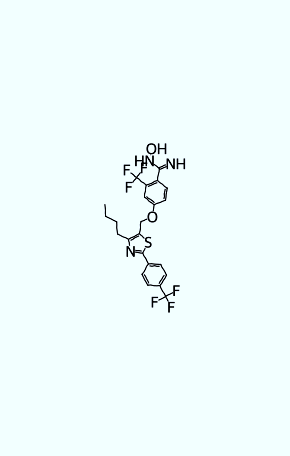 CCCCc1nc(-c2ccc(C(F)(F)F)cc2)sc1COc1ccc(C(=N)NO)c(C(F)(F)F)c1